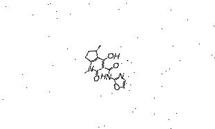 C[C@@H]1CCc2c1c(O)c(C(=O)Nc1ncco1)c(=O)n2C